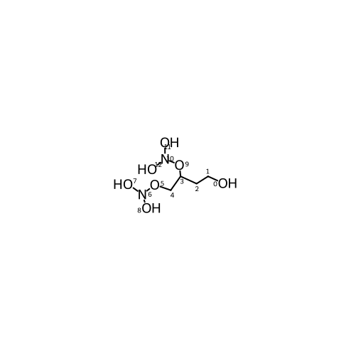 OCCC(CON(O)O)ON(O)O